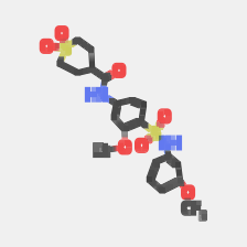 CCOc1cc(NC(=O)C2CCS(=O)(=O)CC2)ccc1S(=O)(=O)Nc1cccc(OC(F)(F)F)c1